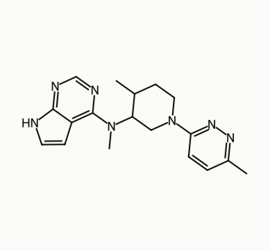 Cc1ccc(N2CCC(C)C(N(C)c3ncnc4[nH]ccc34)C2)nn1